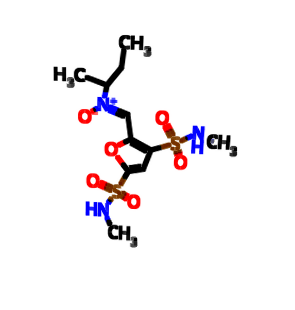 CCC(C)[N+]([O-])=Cc1oc(S(=O)(=O)NC)cc1S(=O)(=O)NC